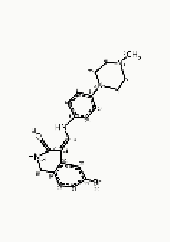 CN1CCN(c2ccc(NC=C3C(=O)NCc4ccc(Br)cc43)cc2)CC1